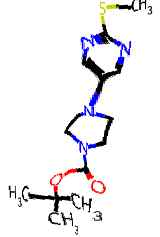 CSc1ncc(N2CCN(C(=O)OC(C)(C)C)CC2)cn1